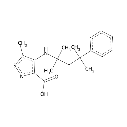 Cc1snc(C(=O)O)c1NC(C)(C)CC(C)(C)c1ccccc1